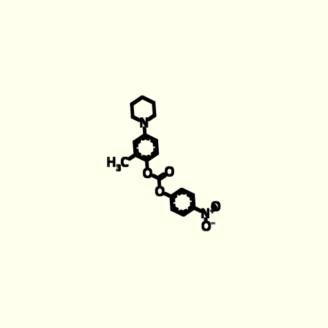 Cc1cc(N2CCCCC2)ccc1OC(=O)Oc1ccc([N+](=O)[O-])cc1